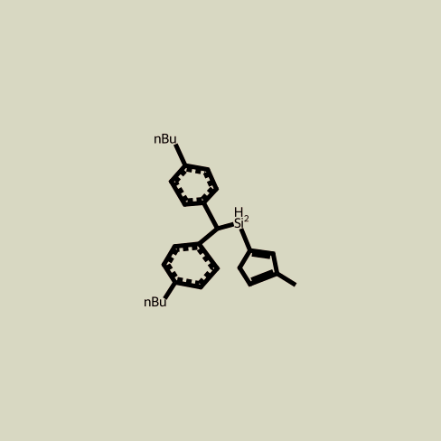 CCCCc1ccc(C([SiH2]C2=CC(C)=CC2)c2ccc(CCCC)cc2)cc1